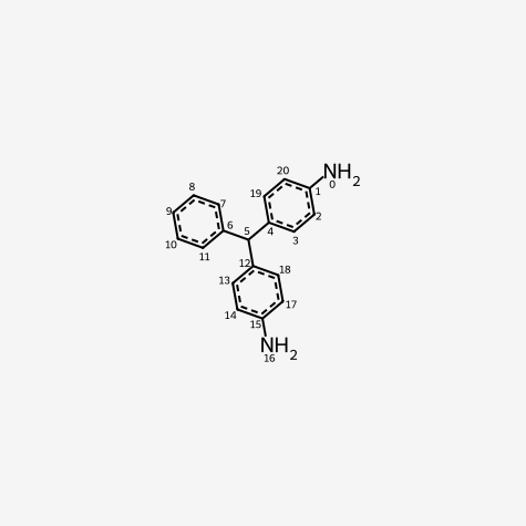 Nc1ccc(C(c2ccccc2)c2ccc(N)cc2)cc1